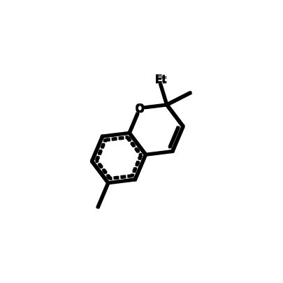 CCC1(C)C=Cc2cc(C)ccc2O1